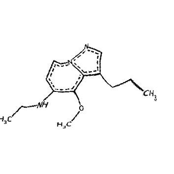 CCCc1cnn2ccc(NCC)c(OC)c12